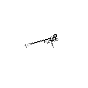 CCCCCCCCCCCCCCCCC(OC(=O)c1ccccc1C(=O)O)C(C)CC